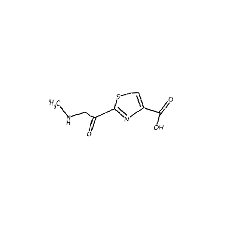 CNCC(=O)c1nc(C(=O)O)cs1